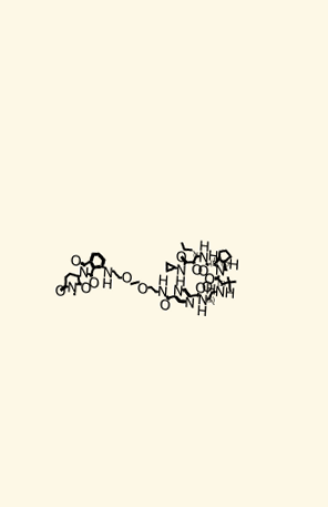 CCC[C@H](NC(=O)[C@@H]1[C@H]2CCC[C@H]2CN1C(=O)[C@@H](NC(=O)[C@H](C)NC(O)c1cnc(C(=O)NCCOCCOCCNc2cccc3c2C(=O)N(C2CCC(=O)N(C)C2=O)C3=O)cn1)C(C)(C)C)C(=O)C(=O)NC1CC1